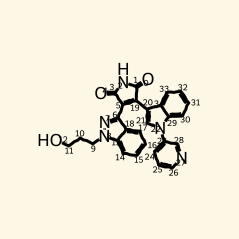 O=C1NC(=O)C(c2nn(CCCO)c3ccccc23)=C1c1cn(-c2cccnc2)c2ccccc12